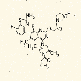 C=CC(=O)N1C[C@H](C)N(c2nc(OCC3(CN4CC[C@@H](F)C4)CC3)nc3c(F)c(-c4ccc(F)c5sc(N)nc45)c(C(F)(F)F)cc23)C[C@H]1C